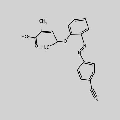 CC(=CC(C)Oc1ccccc1N=Nc1ccc(C#N)cc1)C(=O)O